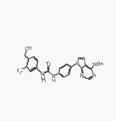 CNc1ncnc2c1ncn2-c1ccc(NC(=O)Nc2ccc(CO)c(C(F)(F)F)c2)cc1